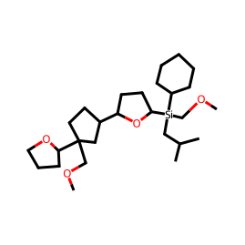 COCC1(C2CCCO2)CCC(C2CCC([Si](COC)(CC(C)C)C3CCCCC3)O2)C1